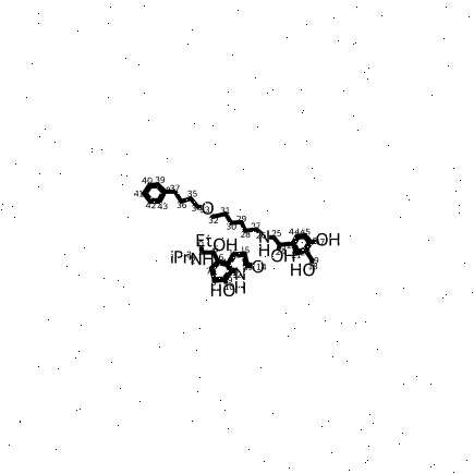 CCC(NC(C)C)C(O)c1ccc(O)c2[nH]c(=O)ccc12.OCc1cc(C(O)CNCCCCCCOCCCCc2ccccc2)ccc1O